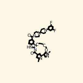 Cc1cc2cc(n1)-c1cnn(C)c1OCCCCCN1/C(=N/C2=O)Nc2ccc(C(=O)N3CCN(C4CCN(c5cc(F)cc(F)c5)CC4)CC3)cc21